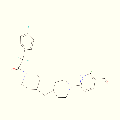 O=Cc1ccc(N2CCC(CC3CCN(C(=O)C(F)(F)c4ccc(F)cc4)CC3)CC2)nc1Cl